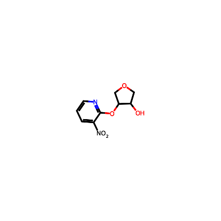 O=[N+]([O-])c1cccnc1OC1COCC1O